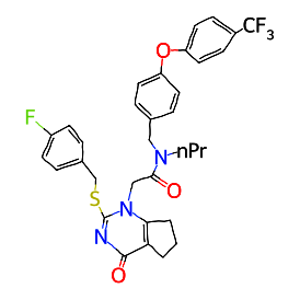 CCCN(Cc1ccc(Oc2ccc(C(F)(F)F)cc2)cc1)C(=O)Cn1c(SCc2ccc(F)cc2)nc(=O)c2c1CCC2